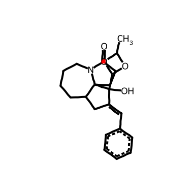 CC1OC(C2(O)/C(=C/c3ccccc3)CC3CCCCN4C(=O)CCC342)O1